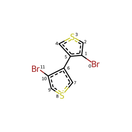 Brc1cscc1-c1cscc1Br